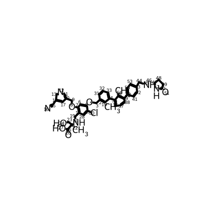 Cc1c(COc2cc(OCc3cncc(C#N)c3)c(CN[C@@](C)(CO)C(=O)O)cc2Cl)cccc1-c1cccc(-c2ccc(CNC[C@@H]3CCC(=O)N3)cc2)c1C